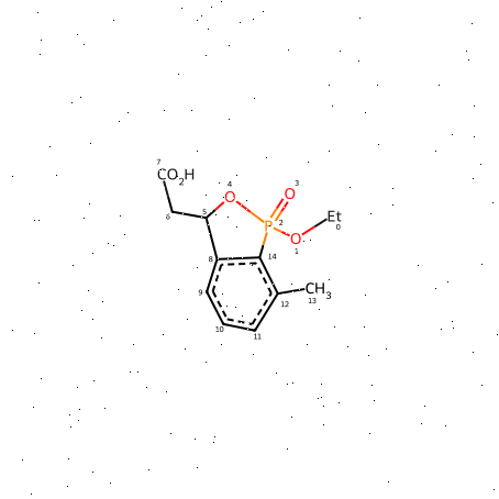 CCOP1(=O)OC(CC(=O)O)c2cccc(C)c21